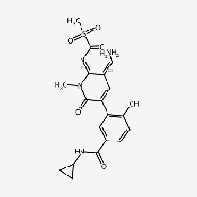 C=C(/N=C1\C(=C/N)C=C(c2cc(C(=O)NC3CC3)ccc2C)C(=O)N1C)S(C)(=O)=O